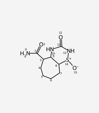 NC(=O)C1CCCCC2C1NC(=O)N[S+]2[O-]